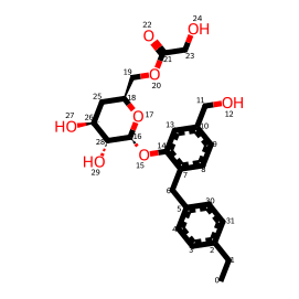 CCc1ccc(Cc2ccc(CO)cc2O[C@H]2O[C@H](COC(=O)CO)C[C@H](O)[C@H]2O)cc1